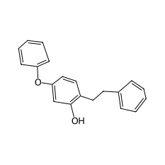 Oc1cc(Oc2ccccc2)ccc1CCc1ccccc1